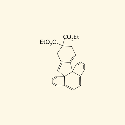 CCOC(=O)C1(C(=O)OCC)CC=C2C(=CC34C=CC=CC3=CC=C3C=CC=CC324)C1